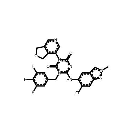 Cn1cc2cc(Nc3nc(=O)n(-c4cncc5c4COC5)c(=O)n3Cc3cc(F)c(F)c(F)c3)c(Cl)cc2n1